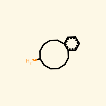 PC1CCCCCc2ccccc2CCCC1